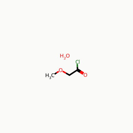 COCC(=O)Cl.O